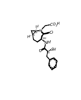 O=C(O)CN1C(=O)[C@@H](NC(=O)[C@@H](S)Cc2ccccc2)CC[C@H]2C[C@H]21